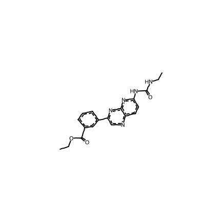 CCNC(=O)Nc1ccc2ncc(-c3cccc(C(=O)OCC)c3)nc2n1